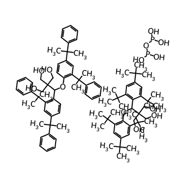 CC(C)(C)c1cc(C(C)(C)C)c(OC(c2c(C(C)(C)C)cc(C(C)(C)C)cc2C(C)(C)C)C(CO)(CO)CO)c(C(C)(C)C)c1.CC(C)(c1ccccc1)c1ccc(OC(c2ccc(C(C)(C)c3ccccc3)cc2C(C)(C)c2ccccc2)C(CO)(CO)CO)c(C(C)(C)c2ccccc2)c1.OP(O)OP(O)O